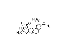 COc1cc2c(cc1OC)C1CC(OC(C)=O)C(CC(C)C)CN1CC2